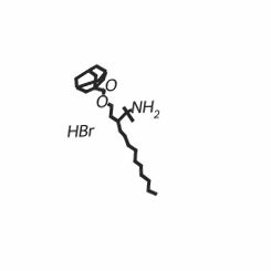 Br.CCCCCCCCCCC(CCOC(=O)C12CC3CC(CC(C3)C1)C2)C(C)(C)N